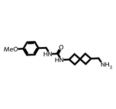 COc1ccc(CNC(=O)NC2CC3(CC(CN)C3)C2)cc1